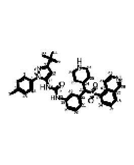 Cc1ccc(-n2nc(C(C)(C)C)cc2NC(=O)Nc2cccc(C(C3CCNCC3)S(=O)(=O)c3cccc4cnccc34)c2)cc1